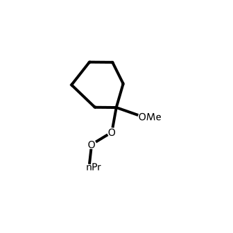 CCCOOC1(OC)CCCCC1